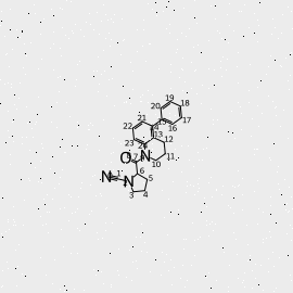 N#CN1CCCC1C(=O)N1CCCc2c(-c3ccccc3)cccc21